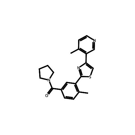 Cc1ccncc1-c1csc(-c2cc(C(=O)N3CCCC3)ccc2C)n1